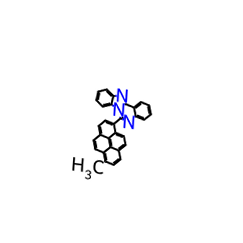 Cc1ccc2ccc3c(-c4nc5ccccc5c5nc6ccccc6n45)ccc4ccc1c2c43